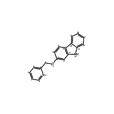 [c]1c(OCc2ccccn2)ccc2c1[nH]c1ccccc12